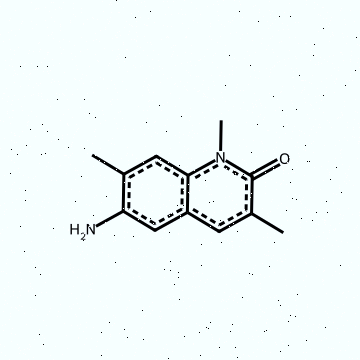 Cc1cc2c(cc1N)cc(C)c(=O)n2C